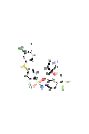 C[C@@]1(Oc2cc(NS(=O)(=O)c3ccc(Sc4ccc(F)c(Cl)c4)cc3Cl)ccc2C(F)(F)F)CCNC1